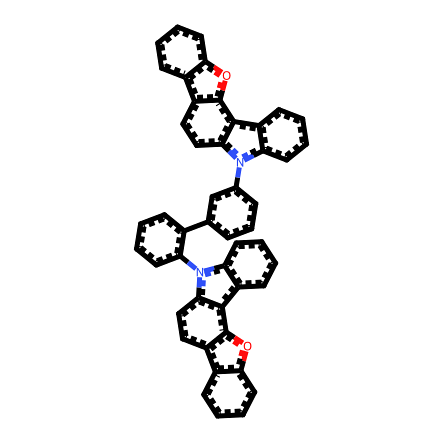 c1cc(-c2ccccc2-n2c3ccccc3c3c4oc5ccccc5c4ccc32)cc(-n2c3ccccc3c3c4oc5ccccc5c4ccc32)c1